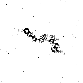 Nc1ncnc2c1ncn2[C@@H]1O[C@H](COP(=O)(O)OC(=O)[C@H]2CSC(c3nc4ccc(O)cc4s3)=N2)[C@@H](O)[C@H]1O